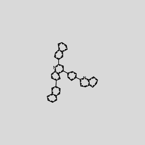 c1ccc2cc(-c3ccc4nc(-c5ccc6ccccc6c5)cc(-c5ccc(-c6ccc7ccccc7n6)cc5)c4c3)ccc2c1